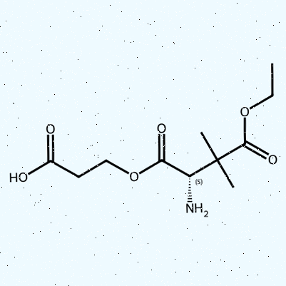 CCOC(=O)C(C)(C)[C@H](N)C(=O)OCCC(=O)O